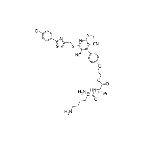 CC(C)[C@H](NC(=O)[C@@H](N)CCCCN)C(=O)OCCOc1ccc(-c2c(C#N)c(N)nc(SCc3csc(-c4ccc(Cl)cc4)n3)c2C#N)cc1